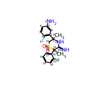 C[C@@]1(c2cc(N)ccc2F)CS(=O)(=O)[C@@](C)(c2ccccc2F)C(=N)N1